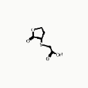 O=C(O)CSC1CCOC1=O